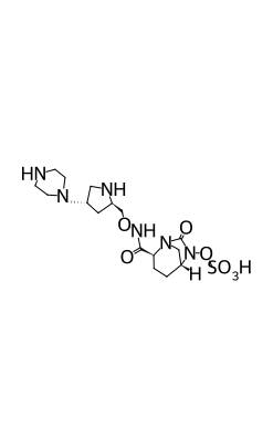 O=C(NOC[C@H]1C[C@H](CN2CCNCC2)CN1)[C@@H]1CC[C@@H]2CN1C(=O)N2OS(=O)(=O)O